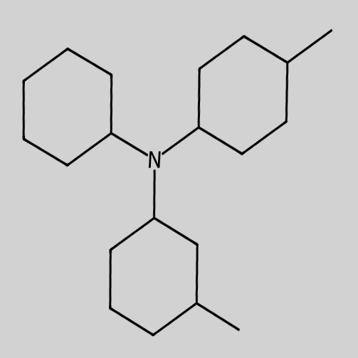 CC1CCC(N(C2CCCCC2)C2CCCC(C)C2)CC1